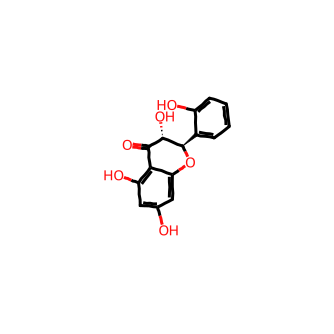 O=C1c2c(O)cc(O)cc2O[C@H](c2ccccc2O)[C@H]1O